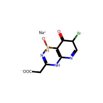 O=C([O-])CC1=N[SH+]([O-])C2=C(N=CC(Br)C2=O)N1.[Na+]